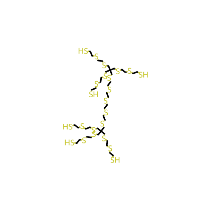 SCCSCCSCC(CSCCSCCS)(CSCCSCCS)CSCCSCCSCCSCCSCC(CSCCSCCS)(CSCCSCCS)CSCCSCCS